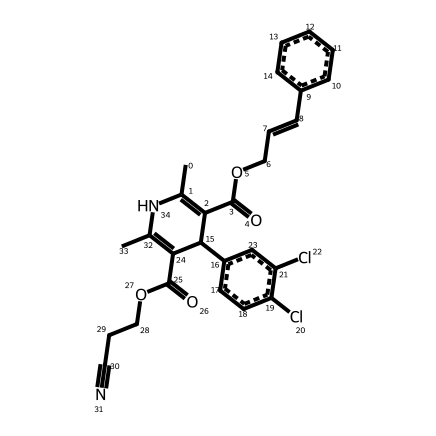 CC1=C(C(=O)OC/C=C/c2ccccc2)C(c2ccc(Cl)c(Cl)c2)C(C(=O)OCCC#N)=C(C)N1